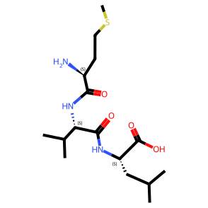 CSCC[C@H](N)C(=O)N[C@H](C(=O)N[C@@H](CC(C)C)C(=O)O)C(C)C